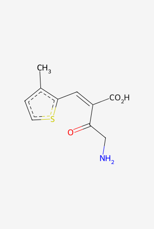 Cc1ccsc1C=C(C(=O)O)C(=O)CN